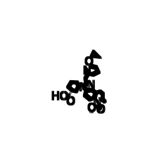 COC(=O)N1c2ccc3c(nc(Cc4cccc(OC5CC5)n4)n3[C@@H]3CCC[C@@H](C(=O)O)C3)c2CCC1C